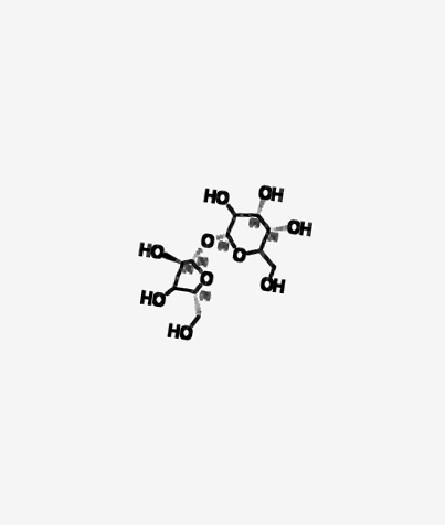 OCC1O[C@H](O[C@@H]2O[C@H](CO)C(O)[C@H]2O)C(O)[C@H](O)[C@@H]1O